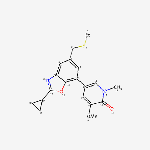 CCSCc1cc(-c2cc(OC)c(=O)n(C)c2)c2oc(C3CC3)nc2c1